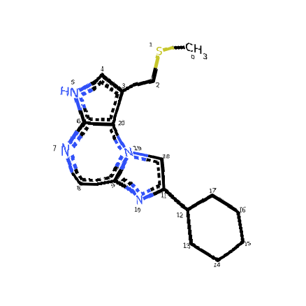 CSCc1c[nH]c2ncc3nc(C4CCCCC4)cn3c12